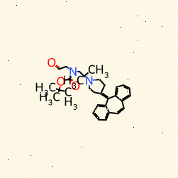 CC(C)(C)OC(=O)N(CC=O)CC(C)(C)N1CCC(=C2c3ccccc3C=Cc3ccccc32)CC1